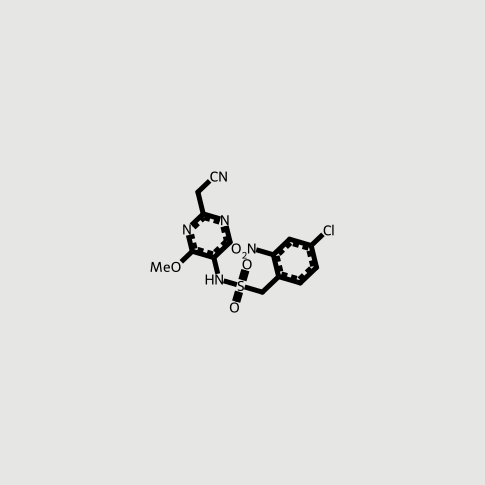 COc1nc(CC#N)ncc1NS(=O)(=O)Cc1ccc(Cl)cc1[N+](=O)[O-]